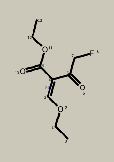 CCO/C=C(\C(=O)CF)C(=O)OCC